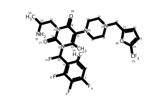 Cc1cc(F)c(F)c(F)c1C(F)n1c(C)c(N2CCN(Cc3ccc(C(F)(F)F)o3)CC2)c(=O)n(CC(C)N)c1=O